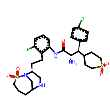 N[C@H](C(=O)Nc1cccc(F)c1CC[C@H]1CNC2CCCS(=O)(=O)N1C2)[C@@H](c1ccc(Cl)cc1)C1CCS(=O)(=O)CC1